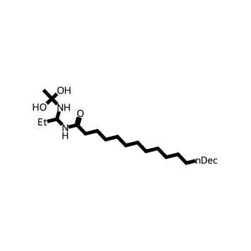 CCCCCCCCCCCCCCCCCCCCCC(=O)NC(CC)NC(C)(O)O